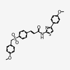 COc1ccc(CS(=O)(=O)c2ccc(C=CC(=O)Nc3nc(-c4ccc(OC)cc4)cs3)cc2)cc1